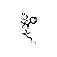 CCCS(=O)(=O)ON=C(c1ccccc1)C(F)(F)S(=O)(=O)CC